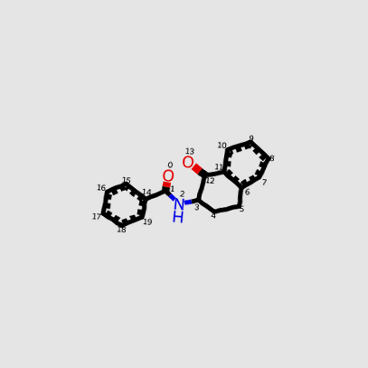 O=C(NC1CCc2ccccc2C1=O)c1ccccc1